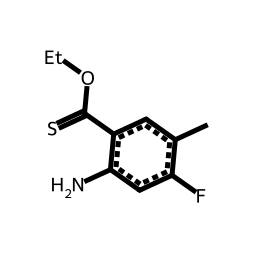 CCOC(=S)c1cc(C)c(F)cc1N